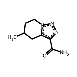 CC1CCn2nnc(C(N)=O)c2C1